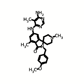 COc1ccc(CN2C(=O)c3c(C)cc(Nc4ncnc(N)c4C)cc3C23CCN(C)CC3)cc1